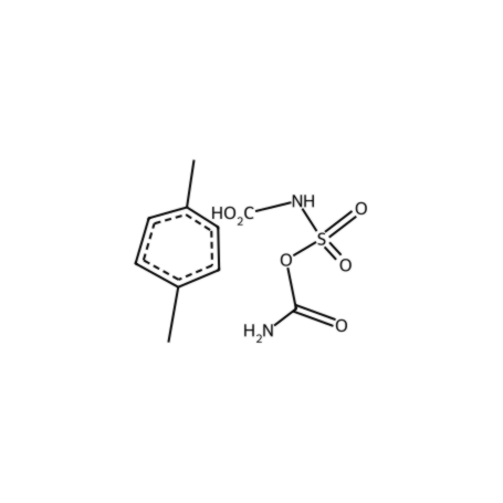 Cc1ccc(C)cc1.NC(=O)OS(=O)(=O)NC(=O)O